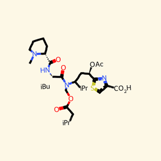 CC[C@H](C)[C@H](NC(=O)[C@H]1CCCCN1C)C(=O)N(COC(=O)CC(C)C)C(C[C@@H](OC(C)=O)c1nc(C(=O)O)cs1)C(C)C